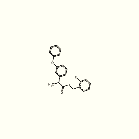 CC(C(=O)OCc1ccccc1F)c1cccc(Oc2ccccc2)c1